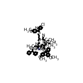 C=C(NC(=O)C(c1ccccc1)c1ccccc1)c1nc(SCCCCCSc2c3ccc(Cl)cc3nc3cc(OC)ccc23)n(C2CC(OP(OCCC#N)N(C(C)C)C(C)C)C(COC(c3ccccc3)(c3ccc(OC)cc3)c3ccc(OC)cc3)O2)c1/N=C\N